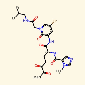 CCC(CC)CNC(=O)Cn1cc(Br)cc(NC(=O)[C@H](CCC(=O)C(=O)NC)NC(=O)c2cncn2C)c1=O